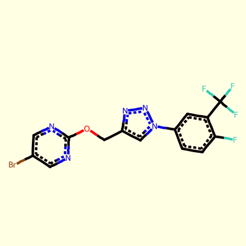 Fc1ccc(-n2cc(COc3ncc(Br)cn3)nn2)cc1C(F)(F)F